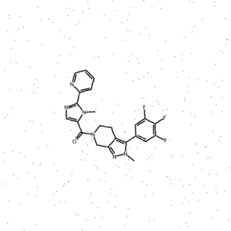 Cn1nc2c(c1-c1cc(F)c(F)c(F)c1)CCN(C(=O)c1cnc(-c3ccccn3)n1C)C2